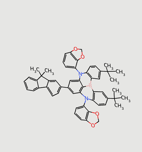 CC(C)(C)c1ccc2c(c1)B1c3cc(C(C)(C)C)ccc3N(c3cccc4c3OCO4)c3cc(-c4ccc5c(c4)C(C)(C)c4ccccc4-5)cc(c31)N2c1cccc2c1OCO2